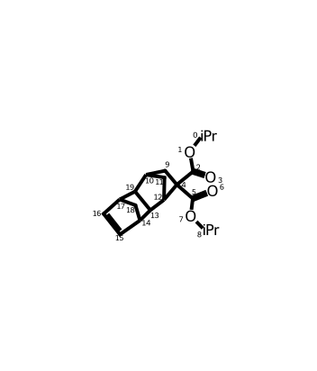 CC(C)OC(=O)C1(C(=O)OC(C)C)CC2CC1C1C3C=CC(C3)C21